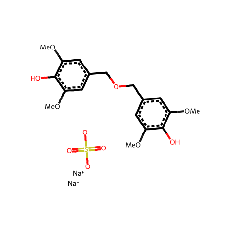 COc1cc(COCc2cc(OC)c(O)c(OC)c2)cc(OC)c1O.O=S(=O)([O-])[O-].[Na+].[Na+]